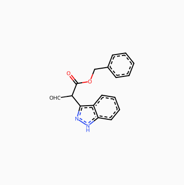 O=CC(C(=O)OCc1ccccc1)c1n[nH]c2ccccc12